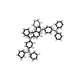 c1ccc(N(c2ccccc2)c2ccc(-n3c4c(c5c6c7ccccc7n(-c7ccc(N(c8ccccc8)c8ccccc8)cc7)c6ccc53)CCCC4)cc2)cc1